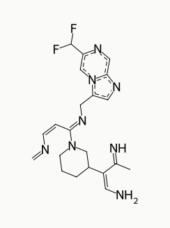 C=N/C=C\C(=N/Cc1cnc2cnc(C(F)F)cn12)N1CCCC(/C(=C/N)C(C)=N)C1